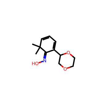 CC1(C)C=CC=C(C2COCCO2)C1=NO